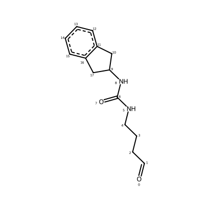 O=CCCCNC(=O)NC1Cc2ccccc2C1